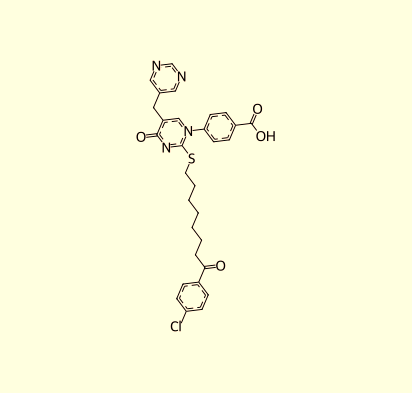 O=C(O)c1ccc(-n2cc(Cc3cncnc3)c(=O)nc2SCCCCCCCC(=O)c2ccc(Cl)cc2)cc1